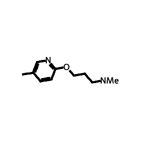 CNCCCOc1ccc(C)cn1